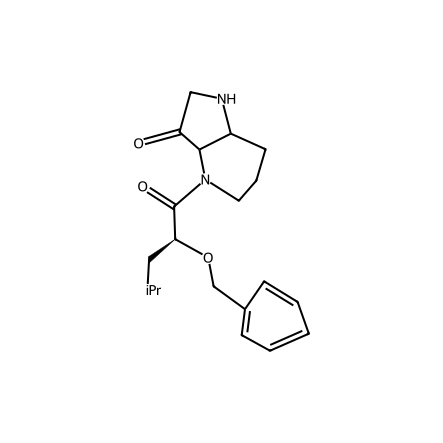 CC(C)C[C@H](OCc1ccccc1)C(=O)N1CCCC2NCC(=O)C21